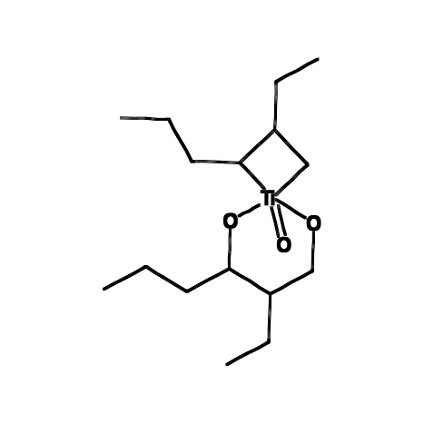 CCCC1[O][Ti]2(=[O])([CH2]C(CC)[CH]2CCC)[O]CC1CC